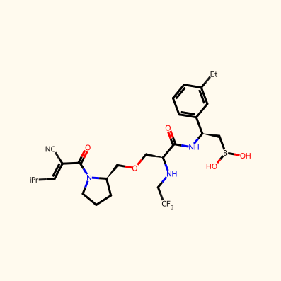 CCc1cccc([C@@H](CB(O)O)NC(=O)[C@H](COC[C@H]2CCCN2C(=O)C(C#N)=CC(C)C)NCC(F)(F)F)c1